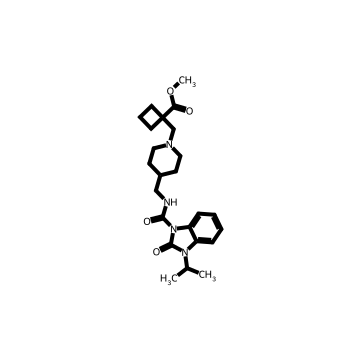 COC(=O)C1(CN2CCC(CNC(=O)n3c(=O)n(C(C)C)c4ccccc43)CC2)CCC1